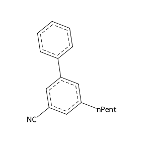 CCCCCc1cc(C#N)cc(-c2ccccc2)c1